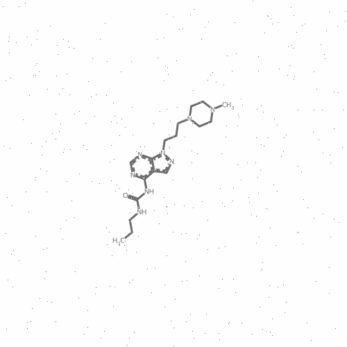 CCCNC(=O)Nc1ncnc2c1cnn2CCCN1CCN(C)CC1